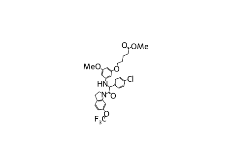 COC(=O)CCCCOc1cc(NC(C(=O)N2CCc3ccc(OC(F)(F)F)cc32)c2ccc(Cl)cc2)cc(OC)c1